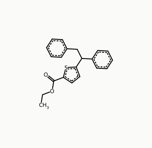 CCOC(=O)c1ccc(C(Cc2ccccc2)c2ccccc2)s1